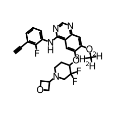 [2H]C([2H])([2H])Oc1cc2ncnc(Nc3cccc(C#C)c3F)c2cc1OC1CCN(C2COC2)CC1(F)F